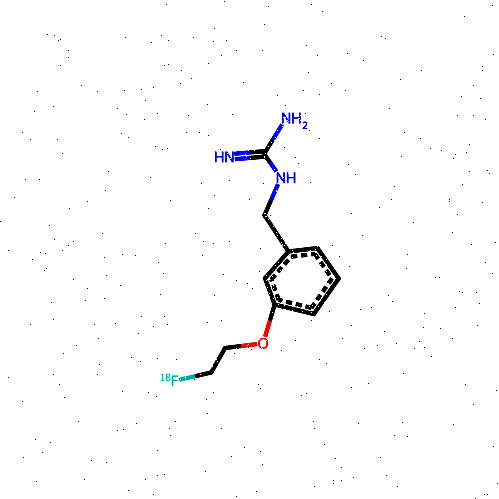 N=C(N)NCc1cccc(OCC[18F])c1